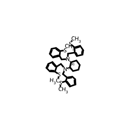 CSc1ccccc1CN(Cc1ccccc1SC)[C@@H]1CCCC[C@H]1N(Cc1ccccc1SC)Cc1ccccc1SC